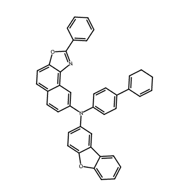 C1=CC(c2ccc(N(c3ccc4oc5ccccc5c4c3)c3ccc4ccc5oc(-c6ccccc6)nc5c4c3)cc2)=CCC1